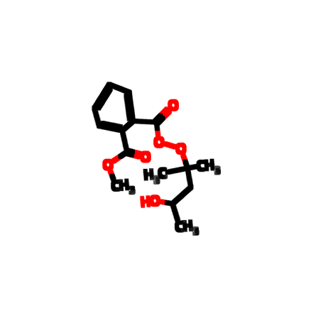 COC(=O)c1ccccc1C(=O)OOC(C)(C)CC(C)O